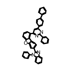 c1ccc(-c2ccc(-c3cc(-c4cccc5oc6cc(-c7nc8ccccc8n7-c7ccccc7)ccc6c45)nc(-c4ccccc4)n3)cc2)cc1